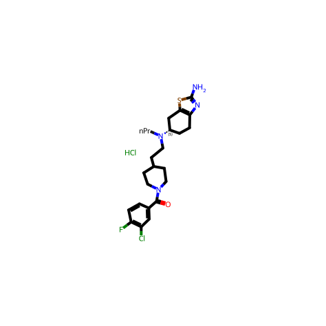 CCCN(CCC1CCN(C(=O)c2ccc(F)c(Cl)c2)CC1)[C@H]1CCc2nc(N)sc2C1.Cl